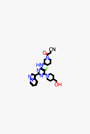 N#CCC(=O)N1CCC[C@@H](Nc2nc(-c3cnn4ccccc34)nc(N3CCC(CO)CC3)c2F)C1